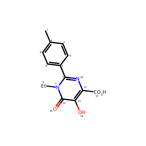 CCn1c(-c2ccc(C)cc2)nc(C(=O)O)c(O)c1=O